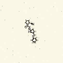 N#C[C@@H]1CCCN1C(=O)CNC1CCC(CSc2ccccc2)C1